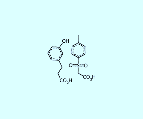 Cc1ccc(S(=O)(=O)CC(=O)O)cc1.O=C(O)CCc1cccc(O)c1